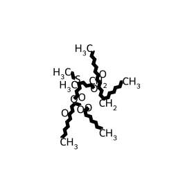 C=C(CCCCCCC)CCC(CCC(=O)CCCCCCC)OC(=C)CCC(C)(CCC(=O)OC(CCC(=O)CCCCCCC)COC(=O)CCCCCCC)SCCC